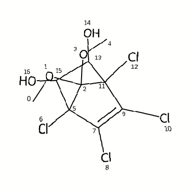 COC1(OC)C2(Cl)C(Cl)=C(Cl)C1(Cl)C(O)C2O